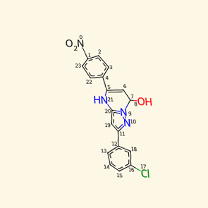 O=[N+]([O-])c1ccc(C2=CC(O)n3nc(-c4cccc(Cl)c4)cc3N2)cc1